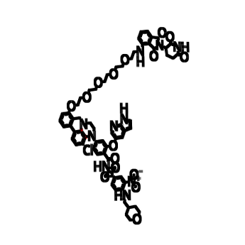 O=C1CCC(N2C(=O)c3cccc(NCCOCCOCCOCCOCCOc4cccc(-c5ccc(Cl)cc5)c4CN4CCN(c5ccc(C(=O)NS(=O)(=O)c6ccc(NCC7CCOCC7)c([N+](=O)[O-])c6)c(Oc6cnc7[nH]ccc7c6)c5)CC4)c3C2=O)C(=O)N1